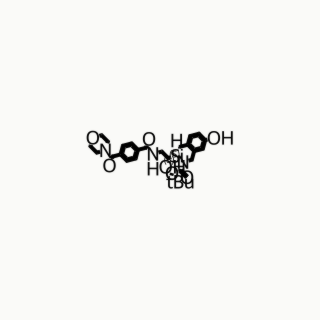 CC(C)(C)OC(=O)N1Cc2cc(O)ccc2C[Si@H]1[C@H](O)CNC(=O)c1ccc(C(=O)N2CCOCC2)cc1